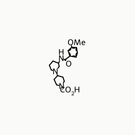 COc1cccc(C(=O)NC2CCCN(C3CCN(C(=O)O)CC3)C2)c1